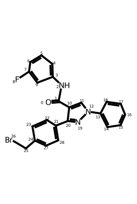 O=C(Nc1cccc(F)c1)c1cn(-c2ccccc2)nc1-c1ccc(CBr)cc1